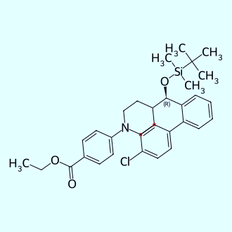 CCOC(=O)c1ccc(N2CCC([C@@H](O[Si](C)(C)C(C)(C)C)c3ccccc3-c3ccc(Cl)cc3)CC2)cc1